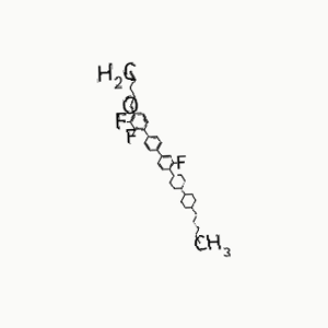 C=CCCOc1ccc(-c2ccc(-c3ccc(C4CCC(C5CCC(CCCCC)CC5)CC4)c(F)c3)cc2)c(F)c1F